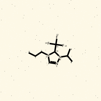 CCCN1C=NN(C(C)C)C1C(F)(F)F